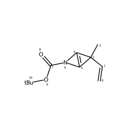 C=CC1(C)C2=C1N2C(=O)OC(C)(C)C